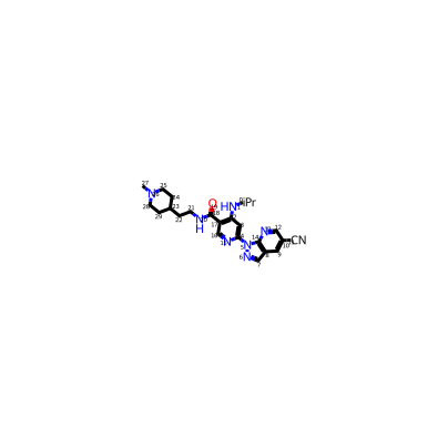 CC(C)Nc1cc(-n2ncc3cc(C#N)cnc32)ncc1C(=O)NCCC1CCN(C)CC1